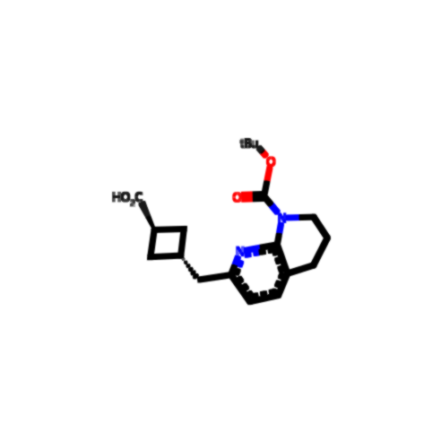 CC(C)(C)OC(=O)N1CCCc2ccc(C[C@H]3C[C@H](C(=O)O)C3)nc21